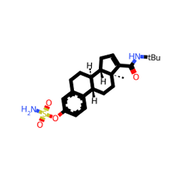 CC(C)(C)NC(=O)C1=CC[C@H]2[C@@H]3CCc4cc(OS(N)(=O)=O)ccc4[C@H]3CC[C@]12C